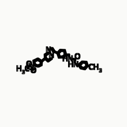 Cc1ccc(NC(=O)NCc2ccc(-c3cnc4cc(-c5ccc(S(C)(=O)=O)cc5)ccn34)cc2)cc1